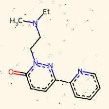 CCN(C)CCn1nc(-c2ccccn2)ccc1=O